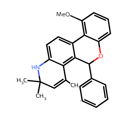 COc1cccc2c1-c1ccc3c(c1C(c1c[c]ccc1)O2)C(C)=CC(C)(C)N3